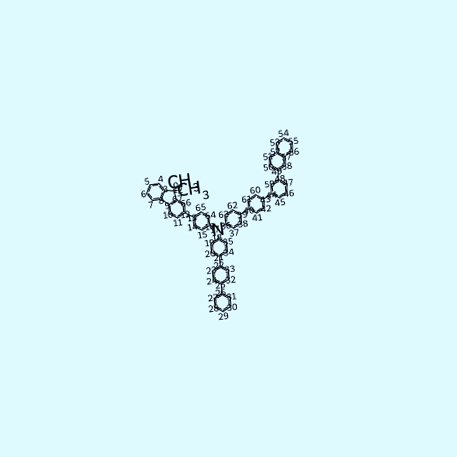 CC1(C)c2ccccc2-c2ccc(-c3ccc(N(c4ccc(-c5ccc(-c6ccccc6)cc5)cc4)c4ccc(-c5ccc(-c6cccc(-c7ccc8ccccc8c7)c6)cc5)cc4)cc3)cc21